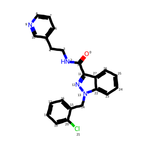 O=C(NCCc1cccnc1)c1nn(Cc2ccccc2Cl)c2ccccc12